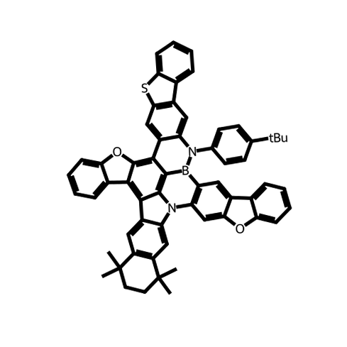 CC(C)(C)c1ccc(N2B3c4cc5c(cc4-n4c6cc7c(cc6c6c8c(oc9ccccc98)c(c3c64)-c3cc4sc6ccccc6c4cc32)C(C)(C)CCC7(C)C)oc2ccccc25)cc1